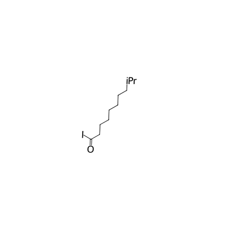 CC(C)CCCCCCCC(=O)I